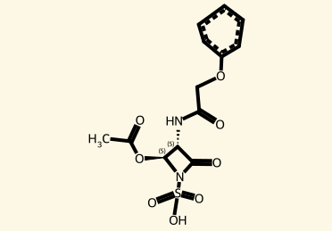 CC(=O)O[C@H]1[C@H](NC(=O)COc2ccccc2)C(=O)N1S(=O)(=O)O